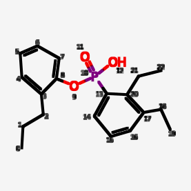 CCCc1ccccc1OP(=O)(O)c1cccc(CC)c1CC